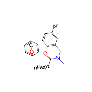 CCCCCCCC(=O)N(C)Cc1cccc(Br)c1.c1cc2ccc1CO2